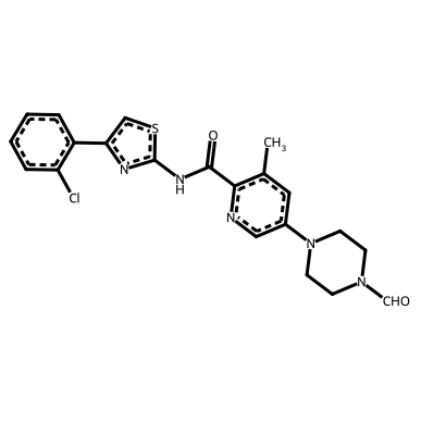 Cc1cc(N2CCN(C=O)CC2)cnc1C(=O)Nc1nc(-c2ccccc2Cl)cs1